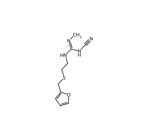 C/N=C(\NC#N)NCCSCc1ccco1